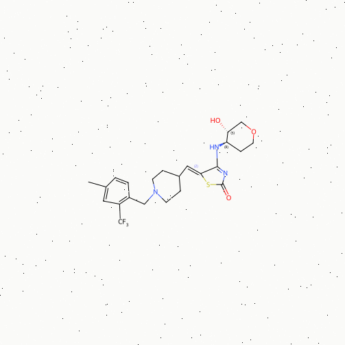 Cc1ccc(CN2CCC(/C=C3\SC(=O)N=C3N[C@@H]3CCOC[C@H]3O)CC2)c(C(F)(F)F)c1